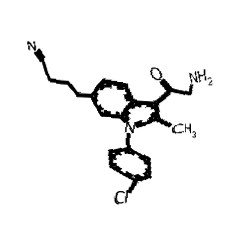 Cc1c(C(=O)CN)c2ccc(CCCC#N)cc2n1-c1ccc(Cl)cc1